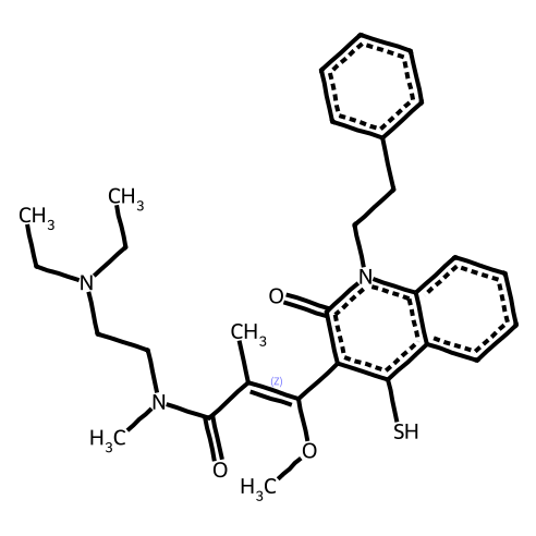 CCN(CC)CCN(C)C(=O)/C(C)=C(\OC)c1c(S)c2ccccc2n(CCc2ccccc2)c1=O